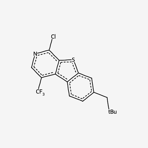 CC(C)(C)Cc1ccc2c(c1)sc1c(Cl)ncc(C(F)(F)F)c12